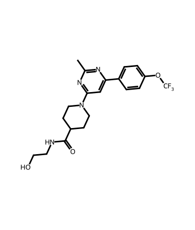 Cc1nc(-c2ccc(OC(F)(F)F)cc2)cc(N2CCC(C(=O)NCCO)CC2)n1